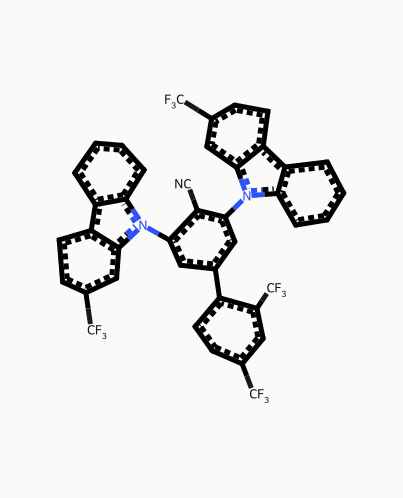 N#Cc1c(-n2c3ccccc3c3ccc(C(F)(F)F)cc32)cc(-c2ccc(C(F)(F)F)cc2C(F)(F)F)cc1-n1c2ccccc2c2ccc(C(F)(F)F)cc21